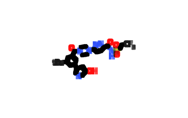 CC(C)(C)c1cc(C(=O)N2CCN(c3ccc(C(=O)NS(=O)(=O)CCC(F)(F)F)nn3)CC2)cc(-c2cncc(O)c2)c1